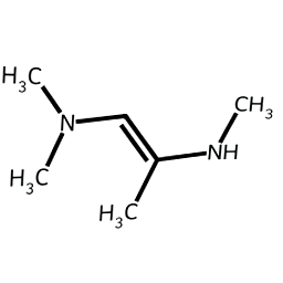 CNC(C)=CN(C)C